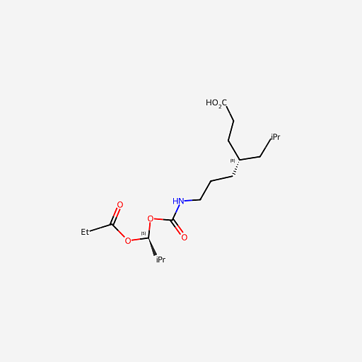 CCC(=O)O[C@@H](OC(=O)NCCC[C@H](CCC(=O)O)CC(C)C)C(C)C